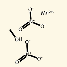 CO.O=[N+]([O-])[O-].O=[N+]([O-])[O-].[Mn+2]